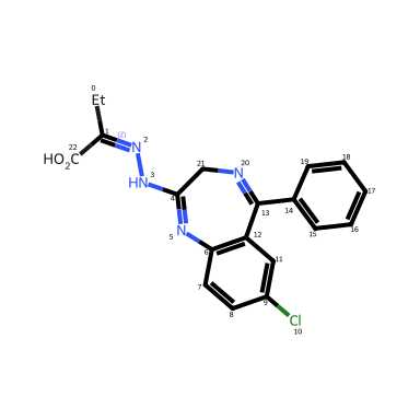 CC/C(=N/NC1=Nc2ccc(Cl)cc2C(c2ccccc2)=NC1)C(=O)O